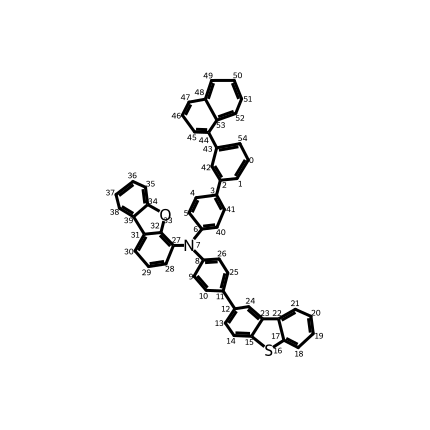 c1cc(-c2ccc(N(c3ccc(-c4ccc5sc6ccccc6c5c4)cc3)c3cccc4c3oc3ccccc34)cc2)cc(-c2cccc3ccccc23)c1